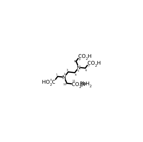 O=C(O)CN(CCN(CC(=O)O)CC(=O)O)CC(=O)O.[PbH2]